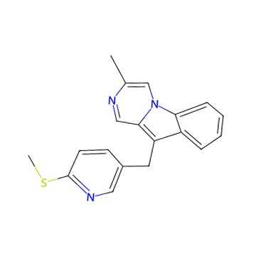 CSc1ccc(Cc2c3ccccc3n3cc(C)ncc23)cn1